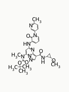 COC1CC1NC(=O)c1cnn2c(N(C)C(=O)OC(C)(C)C)cc(Nc3cccn(-c4ccc(C)nc4)c3=O)nc12